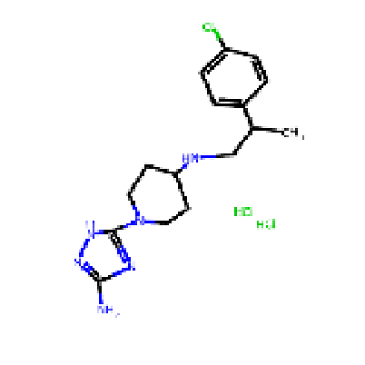 CC(CNC1CCN(c2nc(N)n[nH]2)CC1)c1ccc(Cl)cc1.Cl.Cl